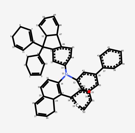 C1=CCCC(C2(C3=CCCC=C3)c3cc(N(C4=C(c5ccccc5)C5CC=CC=C5C=C4)c4cccc(-c5ccccc5)c4)ccc3C3C=CC=CC32)=C1